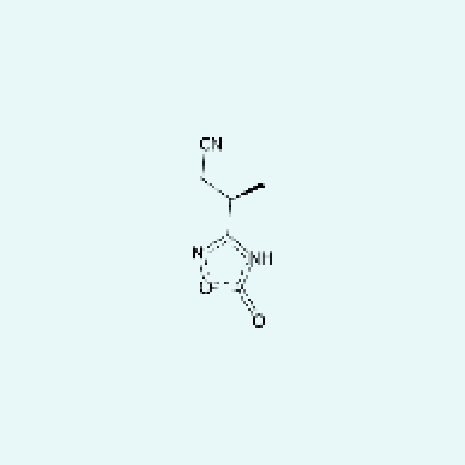 C[C@H](CC#N)c1noc(=O)[nH]1